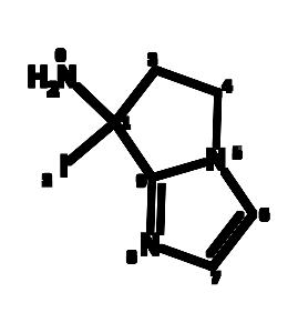 NC1(I)CCn2ccnc21